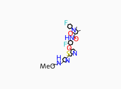 COCCNCc1ccc(-c2cc3nccc(Oc4ccc(NC(=O)c5cc(C)c(C)n(-c6ccc(F)cc6)c5=O)cc4F)c3s2)nc1